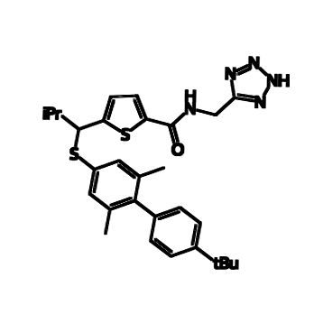 Cc1cc(SC(c2ccc(C(=O)NCc3nn[nH]n3)s2)C(C)C)cc(C)c1-c1ccc(C(C)(C)C)cc1